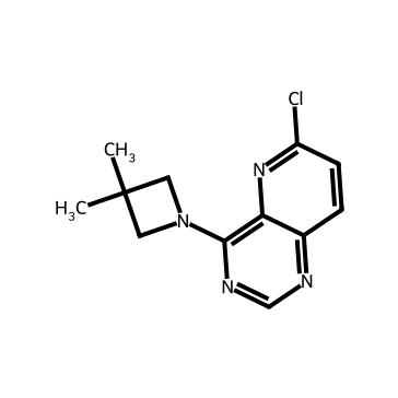 CC1(C)CN(c2ncnc3ccc(Cl)nc23)C1